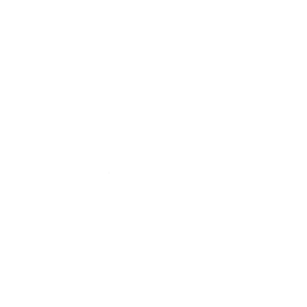 CC1=CP(C)(=O)CC1